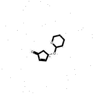 O=C1C=C[C@@H](OC2CCCCO2)C1